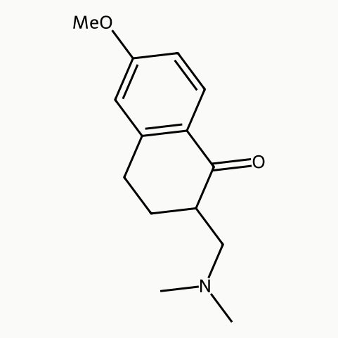 COc1ccc2c(c1)CCC(CN(C)C)C2=O